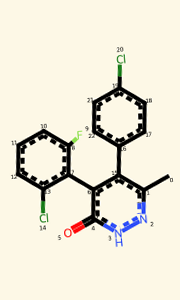 Cc1n[nH]c(=O)c(-c2c(F)cccc2Cl)c1-c1ccc(Cl)cc1